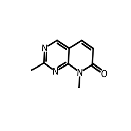 Cc1ncc2ccc(=O)n(C)c2n1